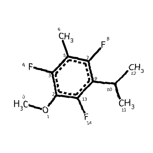 COc1c(F)c(C)c(F)c(C(C)C)c1F